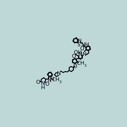 Cc1c(OC2CCC(CCCCN3CC[C@H](c4cccc5c(C6CCC(=O)NC6=O)nn(C)c45)C3)CC2)cccc1-c1ccc(N2CCc3cccc(C(=O)Nc4nc5ccccc5s4)c3C2)nc1C(=O)O